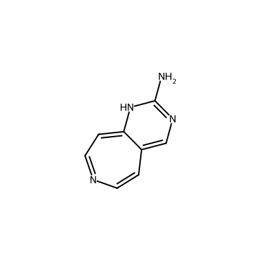 NC1=NC=C2C=CN=CC=C2N1